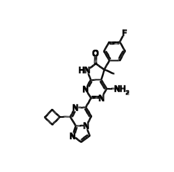 CC1(c2ccc(F)cc2)C(=O)Nc2nc(-c3cn4ccnc4c(C4CCC4)n3)nc(N)c21